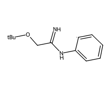 CC(C)(C)OCC(=N)Nc1[c]cccc1